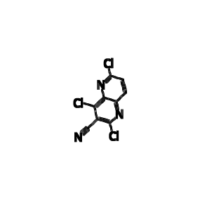 N#Cc1c(Cl)nc2ccc(Cl)nc2c1Cl